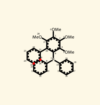 COc1c(OC)c(OC)c(P(c2ccccc2)c2ccccc2)c(-c2ccccc2)c1OC